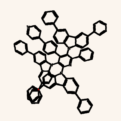 c1ccc(-c2ccc3c(c2)c2cc(-c4ccccc4)ccc2n3-c2nc(-c3ccccc3)c(-n3c4ccc(-c5ccccc5)cc4c4cc(-c5ccccc5)ccc43)c(-c3ccc(-c4ccncc4)cc3)c2-n2c3ccc(-c4ccccc4)cc3c3cc(-c4ccccc4)ccc32)cc1